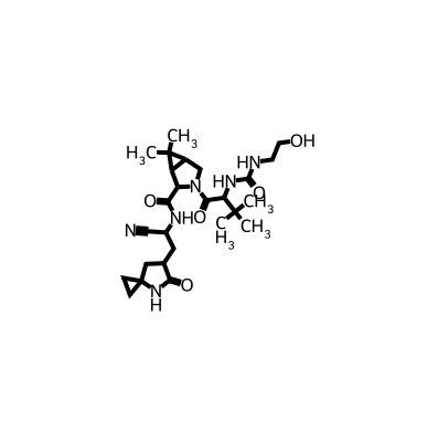 CC(C)(C)C(NC(=O)NCCO)C(=O)N1CC2C(C1C(=O)NC(C#N)CC1CC3(CC3)NC1=O)C2(C)C